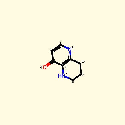 O=C1C=C[N]C2=C1NCCC2